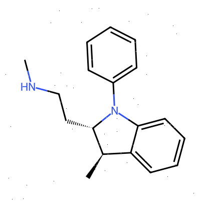 CNCC[C@H]1[C@H](C)c2ccccc2N1c1ccccc1